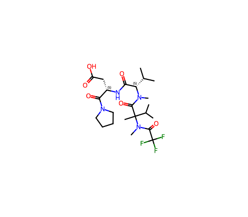 CC(C)[C@@H](C(=O)N[C@@H](CC(=O)O)C(=O)N1CCCC1)N(C)C(=O)C(C)(C(C)C)N(C)C(=O)C(F)(F)F